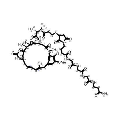 COc1cc2cc(c1Cl)N(C)C(=O)C[C@H](OC(=O)[C@H](C)N(C)C(=O)CCSC1CC(=O)N(CCCC(=O)NCC(=O)NCC(=O)NCC(=O)NCCC(N)=O)C1=O)[C@]1(C)O[C@H]1[C@H](C)[C@@H]1CC(C/C=C/C=C(\C)C2)NC(=O)O1